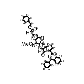 CON=C(C(=O)N[C@@H]1C(=O)N2C(C(=O)OC(c3ccccc3)c3ccccc3)=CCS[C@@H]12)c1nc(NC(=O)OCc2ccccc2)sc1Cl